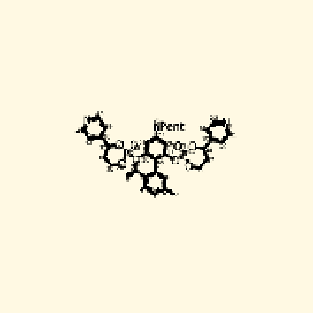 C=C(C)c1ccc(C)cc1-c1c(OP2(=O)OCCC(c3ccncc3)O2)cc(CCCCC)cc1OP1(=O)OCCC(c2ccncc2)O1